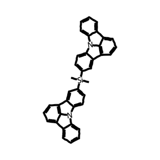 C[Si](C)(c1ccc2c(c1)c1cccc3c4ccccc4n2c31)c1ccc2c(c1)c1cccc3c4ccccc4n2c31